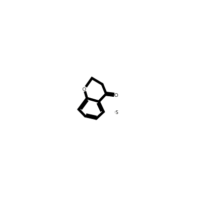 O=C1CCOc2ccccc21.[S]